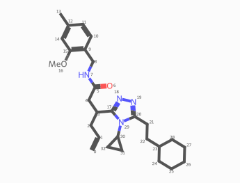 C=CCC(CC(=O)NCc1ccc(C)cc1OC)c1nnc(CCC2CCCCC2)n1C1CC1